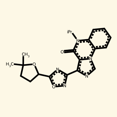 CC(C)n1c(=O)c2c(-c3noc(C4CCC(C)(C)O4)n3)ncn2c2ccccc21